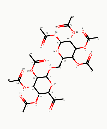 CC(=O)OC1C(OC(C)=O)[C@@H](COC2OC(C(C)=O)[C@@H](OC(C)=O)[C@H](OC(C)=O)[C@H]2OC(C)=O)O[C@@H](OC(C)=O)[C@@H]1OC(C)=O